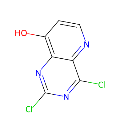 Oc1ccnc2c(Cl)nc(Cl)nc12